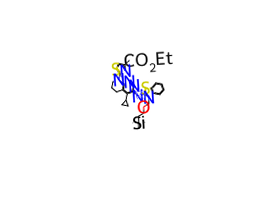 CCOC(=O)c1csc(N2CCCc3c2nnc(/N=c2\sc4ccccc4n2COCC[Si](C)(C)C)c3C2CC2)n1